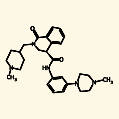 CN1CCC(CN2C[C@H](C(=O)Nc3cccc(N4CCN(C)CC4)c3)c3ccccc3C2=O)CC1